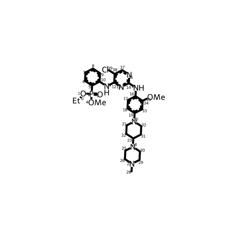 CCOP(=O)(OC)c1ccccc1Nc1nc(Nc2ccc(N3CCC(N4CCN(C)CC4)CC3)cc2OC)ncc1Cl